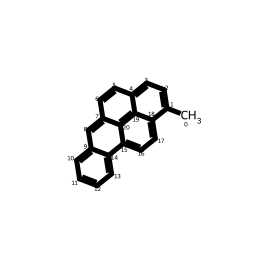 Cc1ccc2ccc3cc4ccccc4c4ccc1c2c34